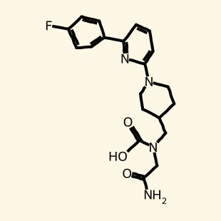 NC(=O)CN(CC1CCN(c2cccc(-c3ccc(F)cc3)n2)CC1)C(=O)O